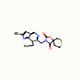 CC(C)(C)CC1C(CN2C(=O)OC3(CCSCC3)C2=O)=NC=C2C=C(C#N)N=C21